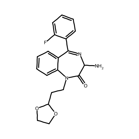 NC1N=C(c2ccccc2F)c2ccccc2N(CCC2OCCO2)C1=O